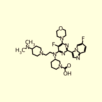 CN(C)C1CCN(CCN(c2nc(-c3cnc4ccc(F)cn34)nc(N3CCOCC3)c2F)[C@@H]2CCCN(C(=O)O)C2)CC1